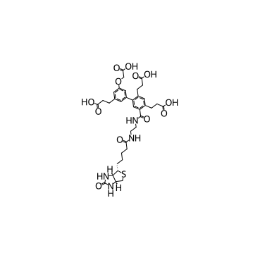 O=C(O)CCc1cc(OCC(=O)O)cc(-c2cc(C(=O)NCCNC(=O)CCCC[C@@H]3SC[C@@H]4NC(=O)N[C@@H]43)c(CCC(=O)O)cc2CCC(=O)O)c1